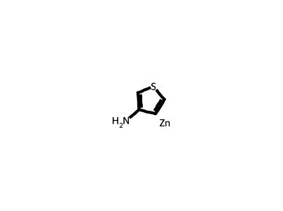 Nc1ccsc1.[Zn]